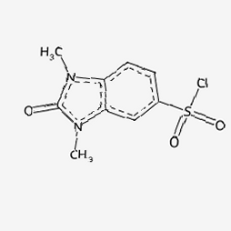 Cn1c(=O)n(C)c2cc(S(=O)(=O)Cl)ccc21